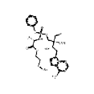 CCCCOCCOC(=O)[C@H](C)NP(=O)(OC[C@@](CF)(OC)[C@@H](O)Cc1ccc2c(N)ncnn12)Oc1ccccc1